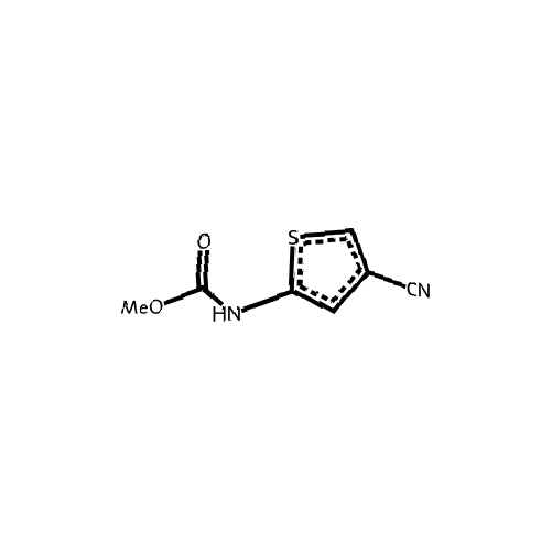 COC(=O)Nc1cc(C#N)cs1